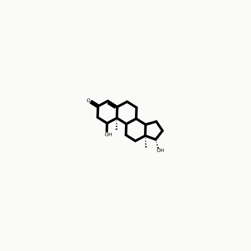 C[C@@]12C(=CC(=O)CC1O)CCC1C2CC[C@@]2(C)C1CC[C@@H]2O